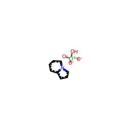 [O-][Cl+3]([O-])([O-])O.c1ccn2cccc2c1